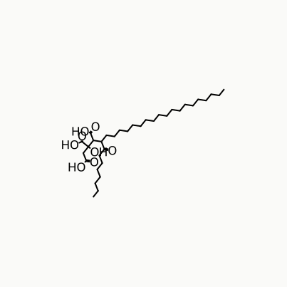 CCCCCCCCCCCCCCCCCCCC(C(=O)CCCCCCC)C(C(=O)O)C(O)(CC(=O)O)C(=O)O